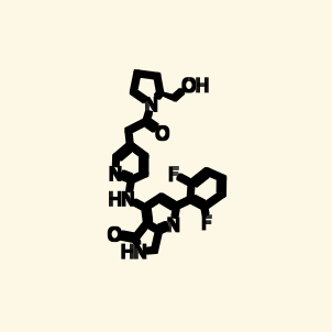 O=C1NCc2nc(-c3c(F)cccc3F)cc(Nc3ccc(CC(=O)N4CCC[C@H]4CO)cn3)c21